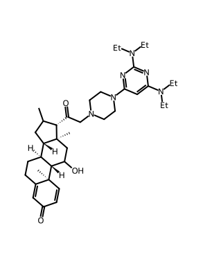 CCN(CC)c1cc(N2CCN(CC(=O)[C@H]3C(C)C[C@H]4[C@@H]5CCC6=CC(=O)C=C[C@]6(C)[C@H]5C(O)C[C@]34C)CC2)nc(N(CC)CC)n1